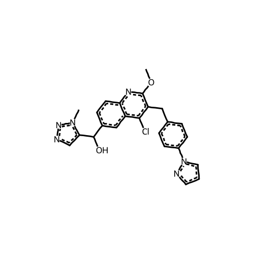 COc1nc2ccc(C(O)c3cnnn3C)cc2c(Cl)c1Cc1ccc(-n2cccn2)cc1